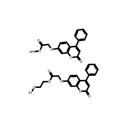 CCCOC(=O)COc1ccc2c(-c3ccccc3)cc(=O)oc2c1.CCOCCOC(=O)COc1ccc2c(-c3ccccc3)cc(=O)oc2c1